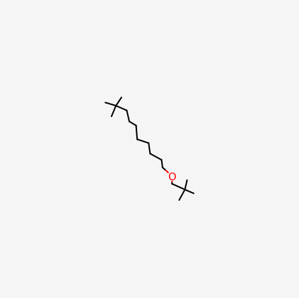 CC(C)(C)CCCCCCCCOCC(C)(C)C